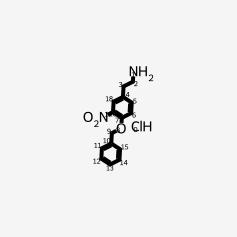 Cl.NCCc1ccc(OCc2ccccc2)c([N+](=O)[O-])c1